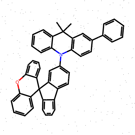 CC1(C)c2ccccc2N(c2ccc3c(c2)C2(c4ccccc4Oc4ccccc42)c2ccccc2-3)c2ccc(-c3ccccc3)cc21